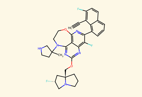 C#Cc1c(F)ccc2cccc(-c3nc4c5c(nc(OC[C@@]67CCCN6C[C@H](F)C7)nc5c3F)N(C3(C)CCNC3)CCO4)c12